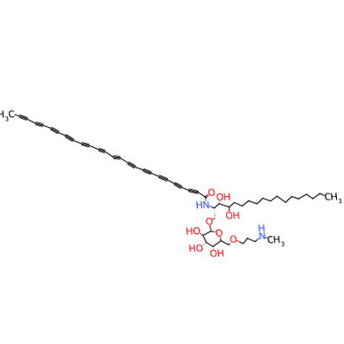 CC#CC#CC#CC#CC#CC#CC#CC#CC#CC#CC#CC#CC(=O)N[C@@H](CO[C@H]1OC(COCCCNC)[C@H](O)[C@H](O)C1O)[C@H](O)[C@H](O)CCCCCCCCCCCCCC